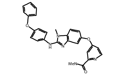 CNC(=O)c1cc(Oc2ccc3c(c2)nc(Nc2ccc(Oc4ccccc4)cc2)n3C)ccn1